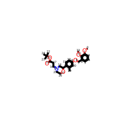 COc1cccc(COc2ccc(C3CN(CCC(=O)OC(C)(C)C)CCO3)c(C)c2)c1OC